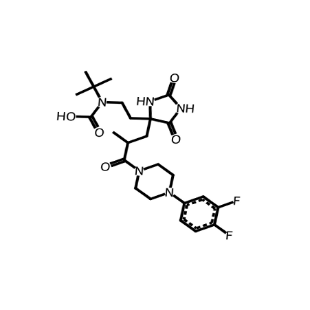 CC(CC1(CCN(C(=O)O)C(C)(C)C)NC(=O)NC1=O)C(=O)N1CCN(c2ccc(F)c(F)c2)CC1